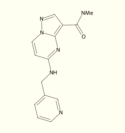 CNC(=O)c1cnn2ccc(NCc3cccnc3)nc12